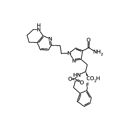 NC(=O)c1cn(CCc2ccc3c(n2)NCCC3)nc1C[C@H](NS(=O)(=O)Cc1ccccc1F)C(=O)O